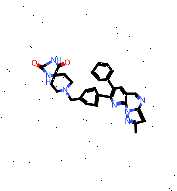 Cc1cc2ncc3cc(-c4ccccc4)c(-c4ccc(CN5CCC6(CC5)NC(=O)NC6=O)cc4)nc3n2n1